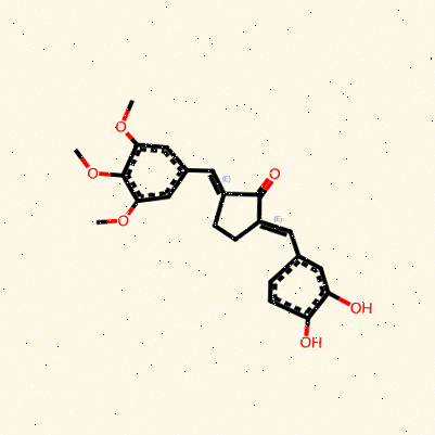 COc1cc(/C=C2\CC/C(=C\c3ccc(O)c(O)c3)C2=O)cc(OC)c1OC